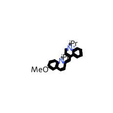 COc1ccc2c(c1)C=C/C(=C/c1cc[n+](C(C)C)c3ccccc13)N2C(C)C